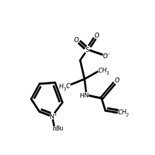 C=CC(=O)NC(C)(C)CS(=O)(=O)[O-].CCCC[n+]1ccccc1